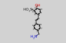 NCc1ccc(/C=C/c2ccc(O)c(S(=O)(=O)O)c2)cc1